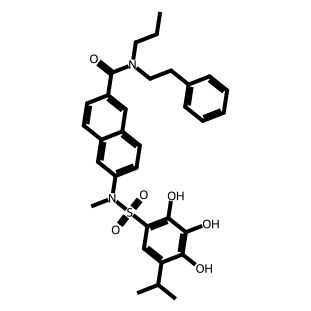 CCCN(CCc1ccccc1)C(=O)c1ccc2cc(N(C)S(=O)(=O)c3cc(C(C)C)c(O)c(O)c3O)ccc2c1